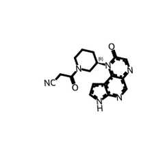 N#CCC(=O)N1CCC[C@@H](n2c(=O)cnc3cnc4[nH]ccc4c32)C1